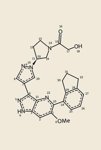 COc1cc2[nH]nc(-c3cnn([C@H]4CCN(C(=O)CO)C4)c3)c2nc1-c1cccc2c1CCC2